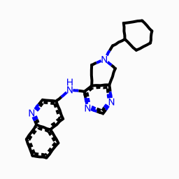 c1ccc2ncc(Nc3ncnc4c3CN(CC3CCCCC3)C4)cc2c1